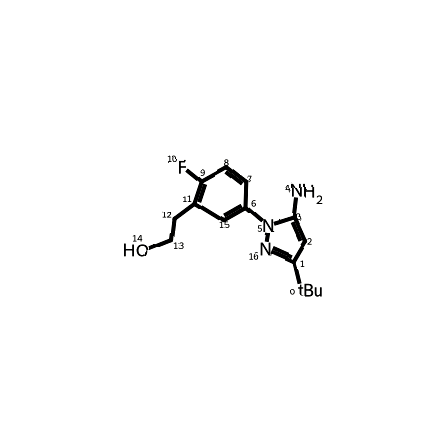 CC(C)(C)c1cc(N)n(-c2ccc(F)c(CCO)c2)n1